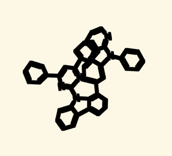 c1ccc(-c2cc(-c3ccccc3)nc(-n3c4ccccc4c4cccc(-c5ccc6c7cccnc7n(-c7ccccc7)c6c5)c43)n2)cc1